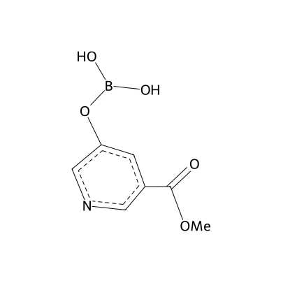 COC(=O)c1cncc(OB(O)O)c1